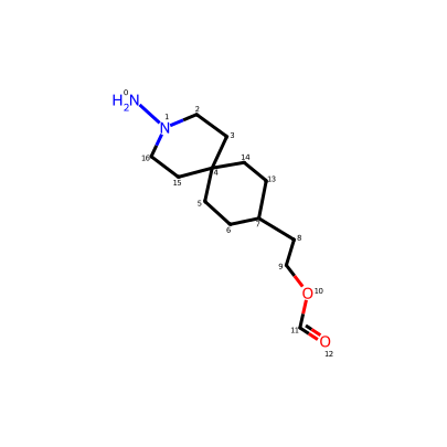 NN1CCC2(CCC(CCOC=O)CC2)CC1